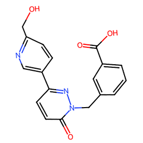 O=C(O)c1cccc(Cn2nc(-c3ccc(CO)nc3)ccc2=O)c1